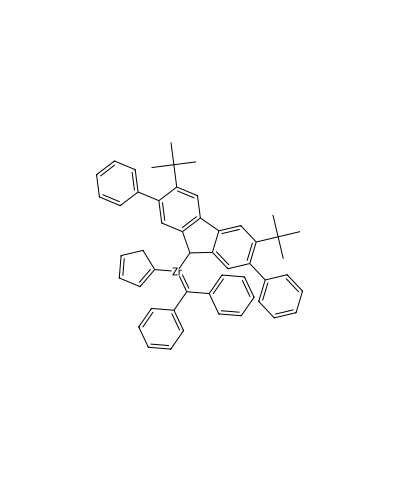 CC(C)(C)c1cc2c(cc1-c1ccccc1)[CH]([Zr]([C]1=CC=CC1)=[C](c1ccccc1)c1ccccc1)c1cc(-c3ccccc3)c(C(C)(C)C)cc1-2